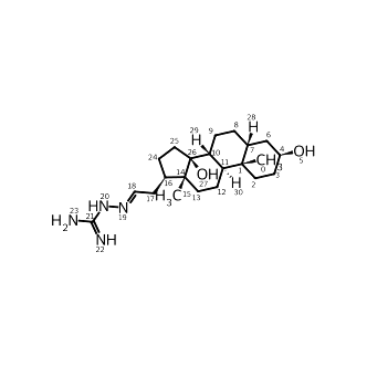 C[C@]12CC[C@H](O)C[C@H]1CC[C@@H]1[C@@H]2CC[C@]2(C)[C@@H](C/C=N/NC(=N)N)CC[C@]12O